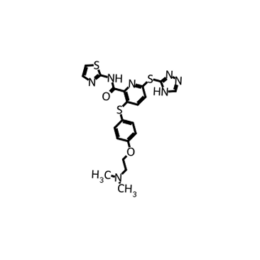 CN(C)CCOc1ccc(Sc2ccc(Sc3nnc[nH]3)nc2C(=O)Nc2nccs2)cc1